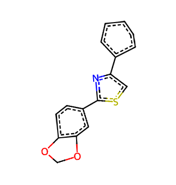 c1ccc(-c2csc(-c3ccc4c(c3)OCO4)n2)cc1